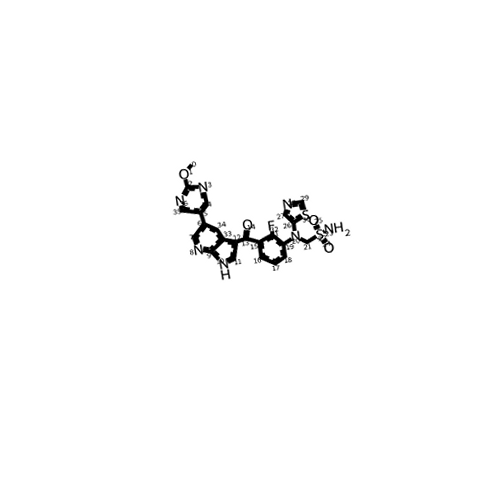 COc1ncc(-c2cnc3[nH]cc(C(=O)c4cccc(N(CS(N)(=O)=O)c5cncs5)c4F)c3c2)cn1